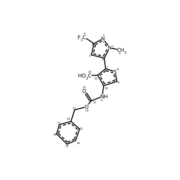 Cn1nc(C(F)(F)F)cc1-c1scc(NC(=O)OCc2ccccc2)c1C(=O)O